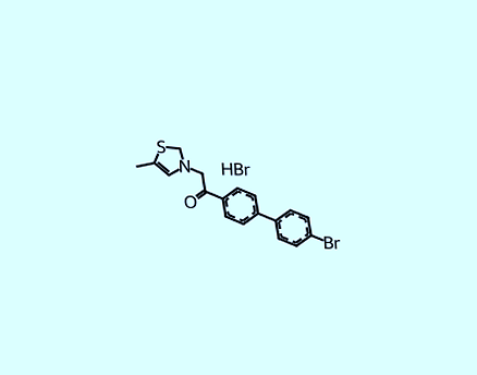 Br.CC1=CN(CC(=O)c2ccc(-c3ccc(Br)cc3)cc2)CS1